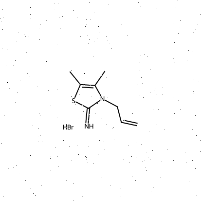 Br.C=CCn1c(C)c(C)sc1=N